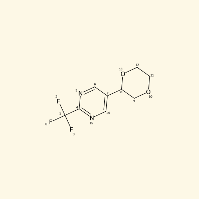 FC(F)(F)c1ncc(C2COCCO2)cn1